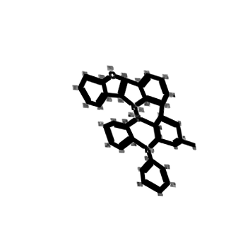 Cc1cc2c3c(c1)N(c1ccccc1)c1ccccc1B3n1c3c-2cccc3c2oc3ccccc3c21